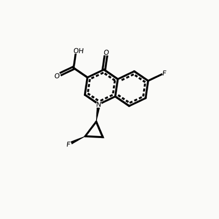 O=C(O)c1cn([C@H]2C[C@H]2F)c2ccc(F)cc2c1=O